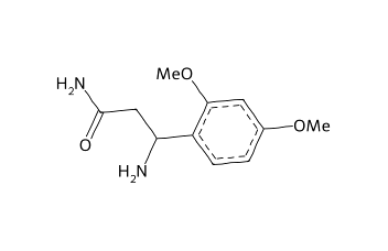 COc1ccc(C(N)CC(N)=O)c(OC)c1